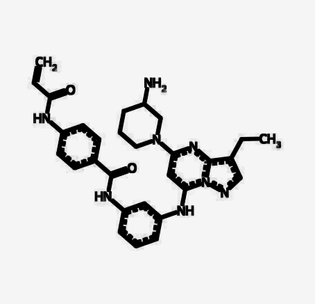 C=CC(=O)Nc1ccc(C(=O)Nc2cccc(Nc3cc(N4CCCC(N)C4)nc4c(CC)cnn34)c2)cc1